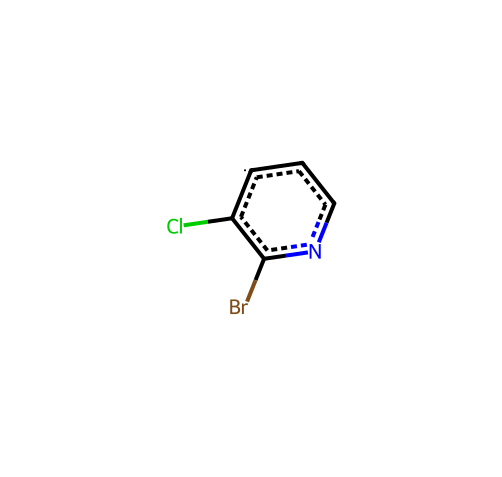 Clc1[c]ccnc1Br